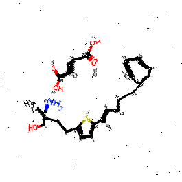 CC(N)(CO)CCc1ccc(C=CCCCc2ccccc2)s1.O=C(O)C=CC(=O)O